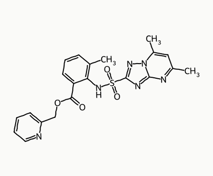 Cc1cc(C)n2nc(S(=O)(=O)Nc3c(C)cccc3C(=O)OCc3ccccn3)nc2n1